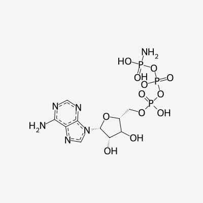 Nc1ncnc2c1ncn2[C@@H]1O[C@H](COP(=O)(O)OP(=O)(O)OP(N)(=O)O)C(O)[C@@H]1O